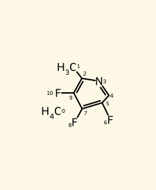 C.Cc1ncc(F)c(F)c1F